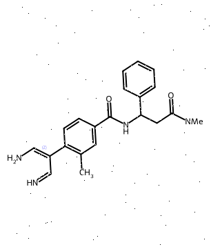 CNC(=O)CC(NC(=O)c1ccc(/C(C=N)=C/N)c(C)c1)c1ccccc1